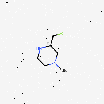 CC(C)(C)N1CCN[C@@H](CF)C1